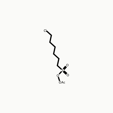 CC(=O)OOS(=O)(=O)CCCCCCCl